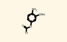 CCC(=O)Oc1ccc([N+](=O)[O-])c(OC)c1